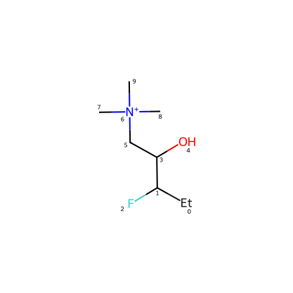 CCC(F)C(O)C[N+](C)(C)C